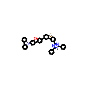 c1ccc(-c2nc(-c3ccccc3)nc(-c3ccc4sc5ccc(-c6ccc7c(c6)oc6cc(-n8c9ccccc9c9ccccc98)ccc67)cc5c4c3)n2)cc1